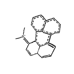 C[N+](C)=C1C=CC2C=CC=c3c2c1c1cccc2cccc3c21